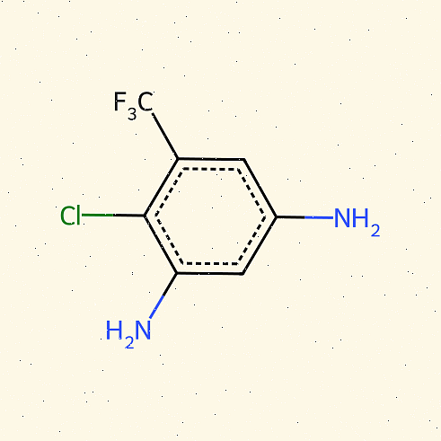 Nc1cc(N)c(Cl)c(C(F)(F)F)c1